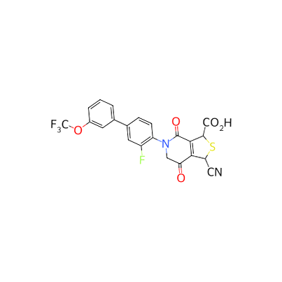 N#CC1SC(C(=O)O)C2=C1C(=O)CN(c1ccc(-c3cccc(OC(F)(F)F)c3)cc1F)C2=O